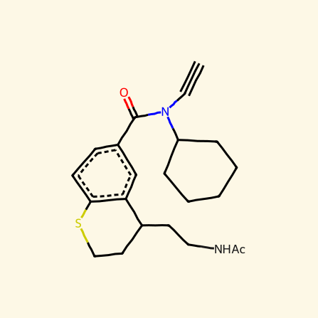 C#CN(C(=O)c1ccc2c(c1)C(CCNC(C)=O)CCS2)C1CCCCC1